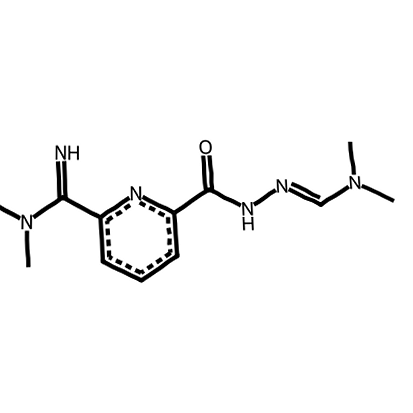 CN(C)C=NNC(=O)c1cccc(C(=N)N(C)C)n1